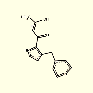 O=C(O)/C(O)=C/C(=O)c1[nH]ccc1Cc1ccncc1